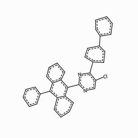 Clc1cnc(-c2c3ccccc3c(-c3ccccc3)c3ccccc23)nc1-c1ccc(-c2ccccc2)cc1